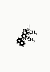 COc1nc(-c2cccc3ccccc23)ccc1C(OC)C(=O)O